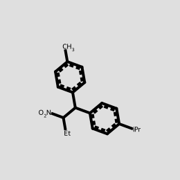 CCC(C(c1ccc(C)cc1)c1ccc(C(C)C)cc1)[N+](=O)[O-]